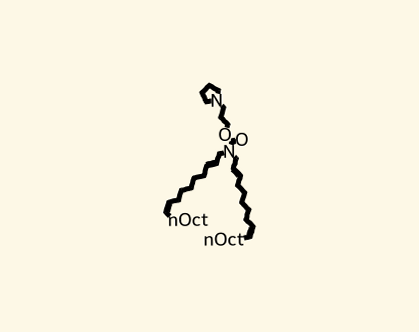 CCCCCCCC/C=C\CCCCCC=CCN(CC=CCCCCC/C=C\CCCCCCCC)C(=O)OCCCN1CCCC1